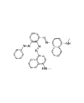 CNc1ccc(N=Nc2cccc(N=Nc3ccccc3)c2N=Nc2ccc(NC)c3ccccc23)c2ccccc12